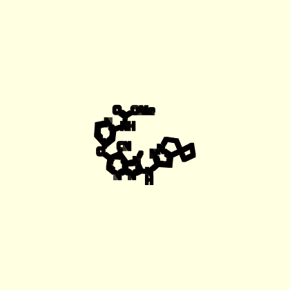 COC(=O)Nc1cc(Oc2cnc3nc(Nc4cc5n(n4)CCC54CCC4)n(C)c3c2C#N)ccn1